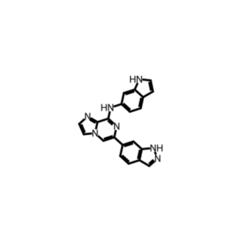 c1cn2cc(-c3ccc4cn[nH]c4c3)nc(Nc3ccc4cc[nH]c4c3)c2n1